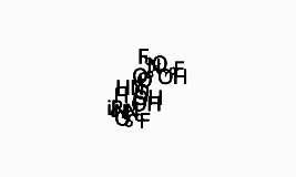 CC(C)c1c(C(=O)Nc2ccccc2)c(-c2ccccc2)c(-c2ccc(F)cc2)n1CCC(O)CC(O)CC(=O)NCCC(=O)Oc1ccc(C2C(CCC(O)c3ccc(F)cc3)C(=O)N2c2ccc(F)cc2)cc1